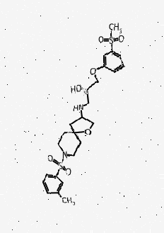 Cc1cccc(S(=O)(=O)N2CCC3(CC2)CC(NC[C@H](O)COc2cccc(S(C)(=O)=O)c2)CO3)c1